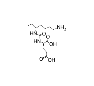 CCC(CCCCN)NC(=O)NC(CCC(=O)O)C(=O)O